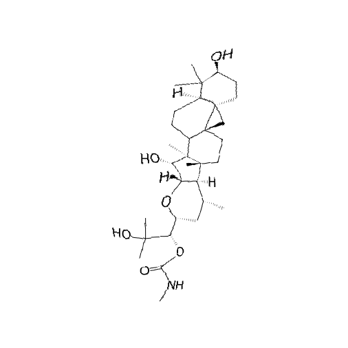 CNC(=O)O[C@@H]([C@H]1C[C@@H](C)[C@H]2[C@H](O1)[C@H](O)[C@@]1(C)C3CC[C@H]4C(C)(C)[C@@H](O)CC[C@@]45C[C@@]35CC[C@]21C)C(C)(C)O